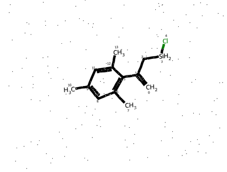 C=C(C[SiH2]Cl)c1c(C)cc(C)cc1C